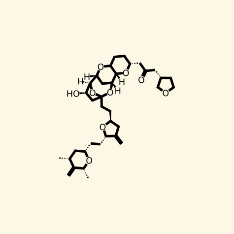 C=C1C[C@H](CCC23C[C@@H](O)[C@H](O2)[C@H]2C[C@@H](O3)[C@H]3O[C@@H](CC(=O)C[C@@H]4CCOC4)CCC3O2)O[C@H]1CC[C@H]1C[C@@H](C)C(=C)[C@@H](C)O1